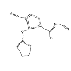 COc1ccc(/C(Cl)=N/O)cc1OC1CCCC1